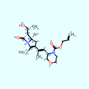 C=CCOC(=O)N1CCOC[C@H]1C=C(C)C1=C(C(=O)O)N2C(=O)[C@H]([C@@H](C)O)[C@H]2C1